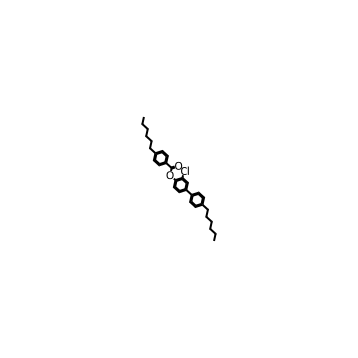 CCCCCCc1ccc(C(=O)Oc2ccc(-c3ccc(CCCCCC)cc3)cc2Cl)cc1